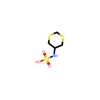 O=S(=O)(O)NC1CSCSC1